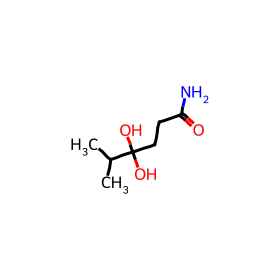 CC(C)C(O)(O)CCC(N)=O